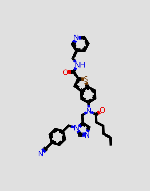 CCCCCC(=O)N(Cc1cncn1Cc1ccc(C#N)cc1)c1ccc2sc(C(=O)NCc3cccnc3)cc2c1